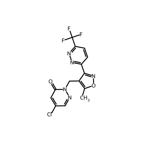 Cc1onc(-c2ccc(C(F)(F)F)nn2)c1Cn1ncc(Cl)cc1=O